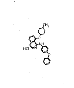 CN1CCC(Oc2cccc3ncnc(Nc4ccc(Oc5ccccc5)cc4)c23)CC1.Cl